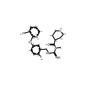 CN(C(=N)NCc1cc(Oc2ncccc2F)ccc1F)C(=O)C1CCOCC1